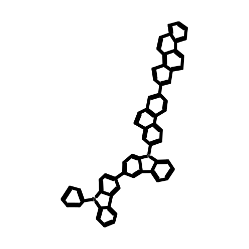 c1ccc(-n2c3ccccc3c3cc(-c4ccc5c(c4)c4ccccc4n5-c4ccc5c(ccc6cc(-c7ccc8c(ccc9c%10ccccc%10ccc89)c7)ccc65)c4)ccc32)cc1